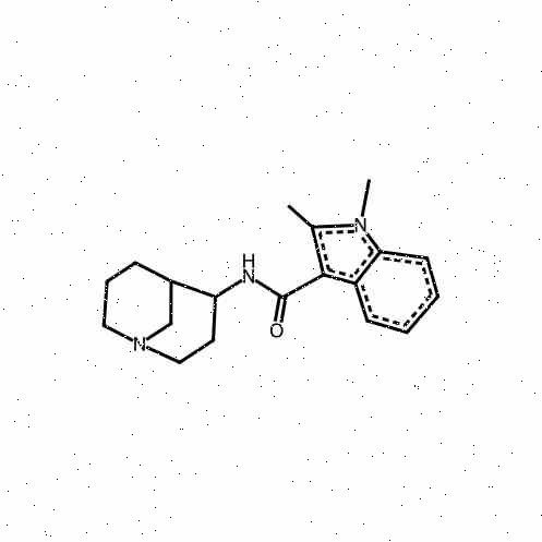 Cc1c(C(=O)NC2CCN3CCCC2C3)c2ccccc2n1C